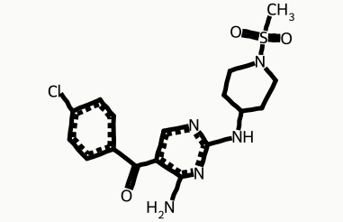 CS(=O)(=O)N1CCC(Nc2ncc(C(=O)c3ccc(Cl)cc3)c(N)n2)CC1